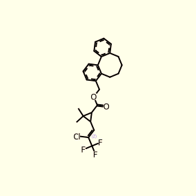 CC1(C)C(/C=C(\Cl)C(F)(F)F)C1C(=O)OCc1cccc2c1CCCCc1ccccc1-2